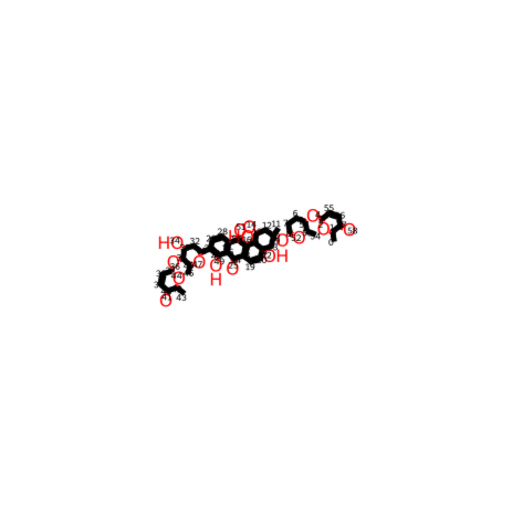 CC1OC(OC2CCC(OC3(C)CC(=O)C4(O)C5=C(C=CC4(O)C3)C(=O)c3c(ccc(C4CC(O)C(OC6C=CC(=O)C(C)O6)C(C)O4)c3O)C5=O)OC2C)C=CC1=O